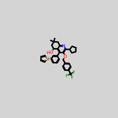 CC1(C)Cc2nc(C3CCCC3)c(OCc3ccc(C(F)(F)F)cc3)c(-c3cccc([SH]4C=CC=C4)c3)c2C(O)C1